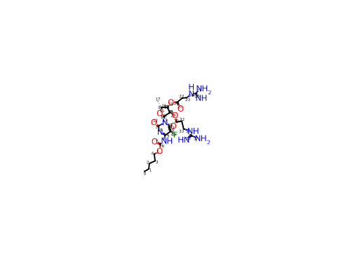 CCCCCOC(=O)Nc1nc(=O)n([C@@H]2O[C@H](C)[C@@H](OC(=O)CCNC(=N)N)[C@H]2OC(=O)CCNC(=N)N)cc1F